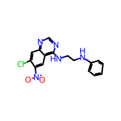 O=[N+]([O-])c1cc2c(NCCNc3ccccc3)ncnc2cc1Cl